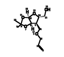 C=CCOC[C@H]1[C@H]2OC(C)(C)O[C@H]2O[C@@H]1CO